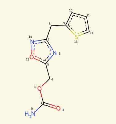 NC(=O)OCc1nc(Cc2cccs2)no1